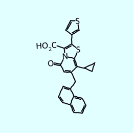 O=C(O)c1c(-c2ccsc2)sc2c(C3CC3)c(Cc3cccc4ccccc34)cc(=O)n12